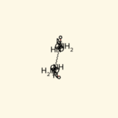 CC1(C)CC(N(N)C(=O)C(=O)NCCCCCCCCCCCCNC(=O)C(=O)N(N)C2CC(C)(C)N(Cc3ccccc3)C(C)(C)C2)CC(C)(C)N1Cc1ccccc1